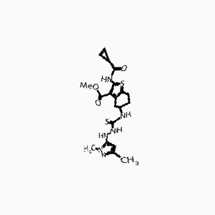 COC(=O)c1c(NC(=O)C2CC2)sc2c1CC(NC(=S)NNc1cc(C)nn1C)CC2